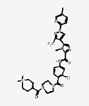 Cc1ccc(-n2cc(-c3cnc(C(=O)Nc4ccc(C(=O)N5CCN(C(=O)C6CC[N+](C)(C)CC6)CC5)c(Cl)c4)n3C)c(C(F)(F)F)n2)nc1